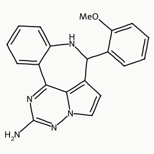 COc1ccccc1C1Nc2ccccc2-c2nc(N)nn3ccc1c23